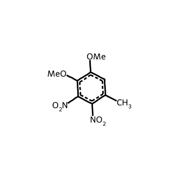 COc1cc(C)c([N+](=O)[O-])c([N+](=O)[O-])c1OC